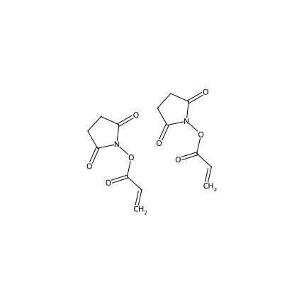 C=CC(=O)ON1C(=O)CCC1=O.C=CC(=O)ON1C(=O)CCC1=O